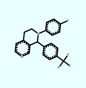 Fc1ccc(N2CCc3ccncc3C2c2ccc(C(F)(F)F)cc2)cc1